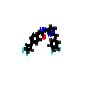 O=C(Cc1ccc(C2CC(F)(F)C2)cc1)Nc1ccn(Cc2ccc(F)c(F)c2)n1